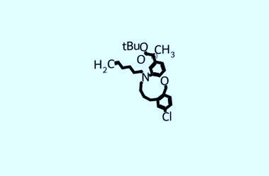 C=CCCCCN1CCCCc2cc(Cl)ccc2COc2ccc([C@H](C)C(=O)OC(C)(C)C)cc21